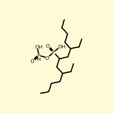 CCCCC(CC)CC(CC(CC)CCCC)P(=O)(O)O[PH](=O)O